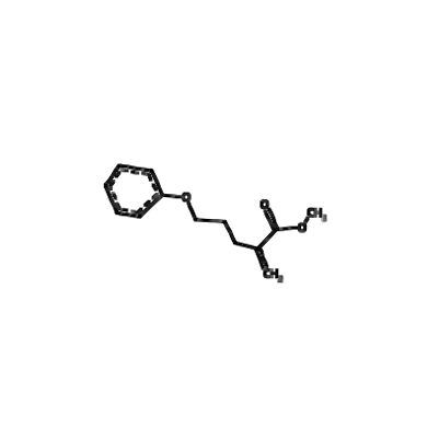 C=C(CCCOc1ccccc1)C(=O)OC